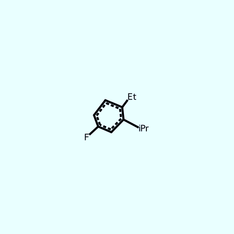 [CH2]C(C)c1cc(F)ccc1CC